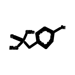 COP(=O)(Cc1ccc(C(C)=O)cc1)OC